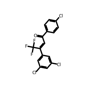 O=C(/C=C(/c1cc(Cl)cc(Cl)c1)C(F)(F)F)c1ccc(Cl)cc1